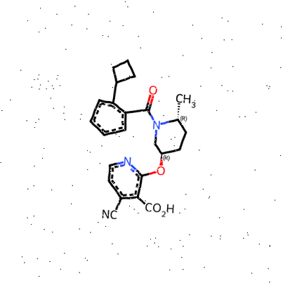 C[C@@H]1CC[C@@H](Oc2nccc(C#N)c2C(=O)O)CN1C(=O)c1ccccc1C1CCC1